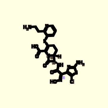 NCCc1ncccc1SC1=C(C(=O)O)N2C(=O)[C@@H](NC(=O)/C(=N\O)c3nc(N)sc3Cl)[C@H]2CC1